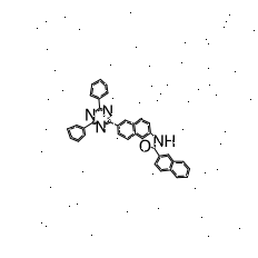 c1ccc(-c2nc(-c3ccccc3)nc(-c3ccc4c5c(ccc4c3)NC(c3ccc4ccccc4c3)O5)n2)cc1